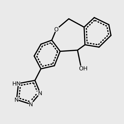 OC1c2ccccc2COc2ccc(-c3nnn[nH]3)cc21